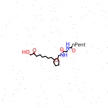 CCCCCC(=O)NCC(=O)NCC1C2CCC(O2)C1CCCCCCC(=O)CO